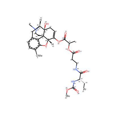 COc1ccc2c3c1O[C@H]1C(OC(=O)C(C)OC(=O)CCNC(=O)[C@H](CC(C)C)NC(=O)OC(C)(C)C)=CC[C@@]4(O)[C@@H](C2)N(C)CC[C@]314